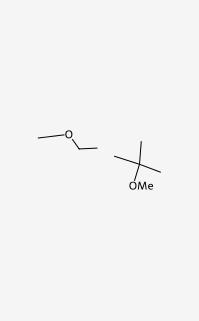 CCOC.COC(C)(C)C